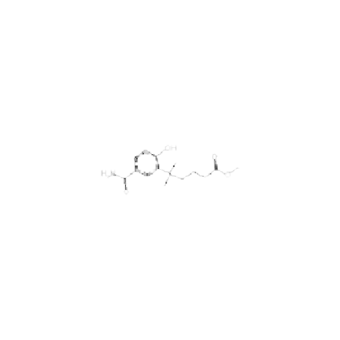 COC(=O)CCCC(C)(C)c1cc(C(N)=O)ccc1O